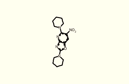 O=[N+]([O-])c1cc2oc(N3CCCCC3)nc2nc1N1CCCCC1